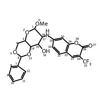 COC1OC2COC(c3ccccc3)OC2C(O)C1Nc1ccc2cc(C(F)(F)F)c(=O)oc2c1